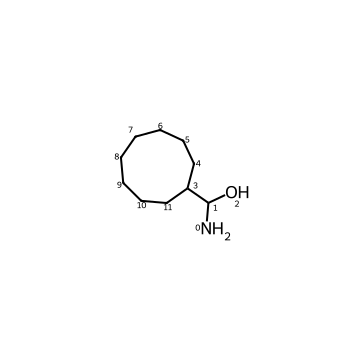 NC(O)C1CCCCCCCC1